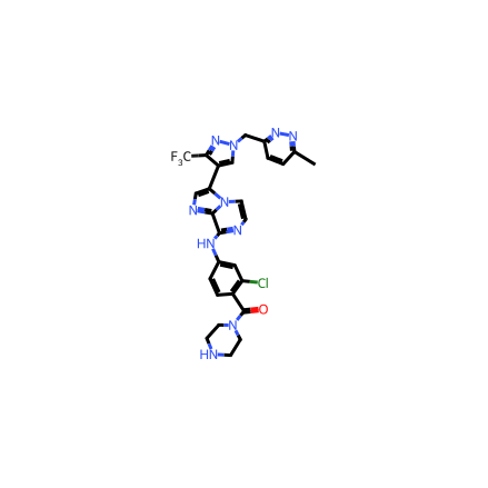 Cc1ccc(Cn2cc(-c3cnc4c(Nc5ccc(C(=O)N6CCNCC6)c(Cl)c5)nccn34)c(C(F)(F)F)n2)nn1